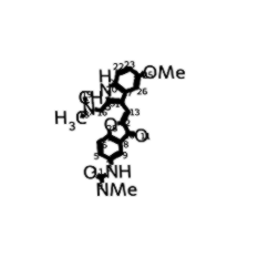 CNC(=O)Nc1ccc2c(c1)C(=O)C(=Cc1c(CN(C)C)[nH]c3ccc(OC)cc13)O2